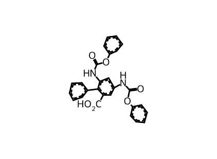 O=C(Nc1cc(NC(=O)Oc2ccccc2)c(-c2ccccc2)c(C(=O)O)c1)Oc1ccccc1